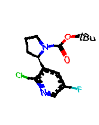 CC(C)(C)OC(=O)N1CCC[C@@H]1c1cc(F)cnc1Cl